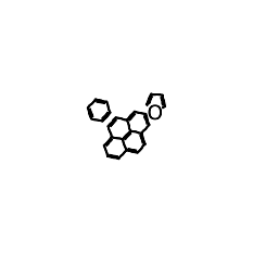 c1cc2ccc3cccc4ccc(c1)c2c34.c1ccccc1.c1ccoc1